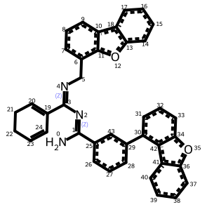 N/C(=N\C(=N/Cc1cccc2c1oc1ccccc12)C1=CCCC=C1)c1cccc(-c2cccc3oc4ccccc4c23)c1